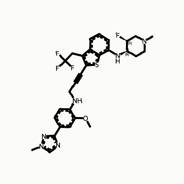 COc1cc(-c2ncn(C)n2)ccc1NCC#Cc1sc2c(N[C@@H]3CCN(C)C[C@@H]3F)cccc2c1CC(F)(F)F